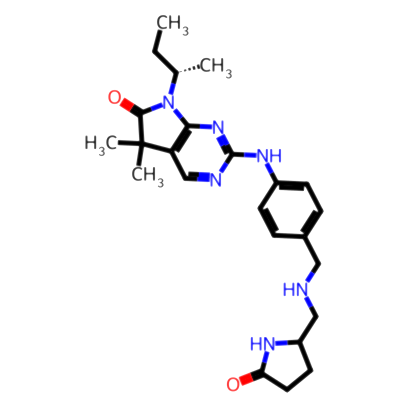 CC[C@H](C)N1C(=O)C(C)(C)c2cnc(Nc3ccc(CNCC4CCC(=O)N4)cc3)nc21